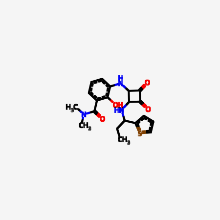 CCC(NC1C(=O)C(=O)C1Nc1cccc(C(=O)N(C)C)c1O)c1cccs1